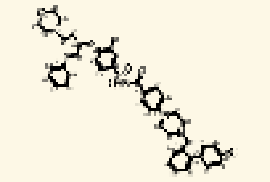 Cc1cc(S(=O)(=O)NC(=O)c2ccc(N3CCN(Cc4ccccc4-c4ccc(Cl)cc4)CC3)cc2)ccc1N[C@H](CCN1CCOCC1)CSc1ccccc1